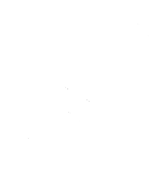 CC(C)(Oc1ccc(CCN(Cc2ccc(C(F)(F)F)cc2)c2noc(C3CCOC3)n2)cc1)C(=O)O